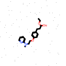 CCOC(O)CCc1ccc(OCCN(C)c2ccccn2)cc1